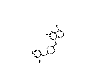 Cc1cc(OC2CCN(Cc3ccncc3F)CC2)c2cccc(F)c2n1